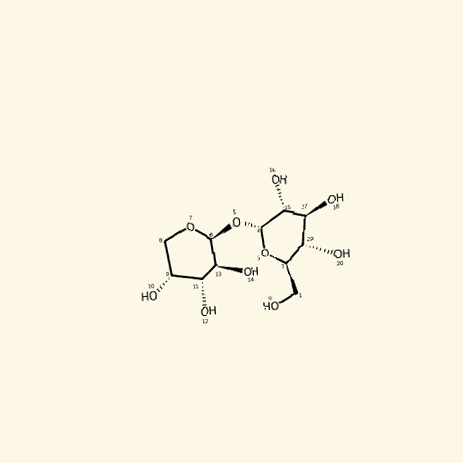 OC[C@H]1O[C@H](O[C@@H]2OC[C@@H](O)[C@@H](O)[C@@H]2O)[C@H](O)[C@@H](O)[C@@H]1O